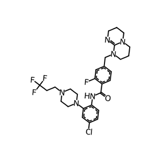 O=C(Nc1ccc(Cl)cc1N1CCN(CCC(F)(F)F)CC1)c1ccc(CN2CCCN3CCCN=C32)cc1F